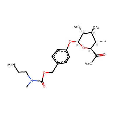 CNCCN(C)C(=O)OCc1ccc(O[C@@H]2O[C@H](C(=O)OC)[C@@H](C)[C@H](OC(C)=O)[C@H]2OC(C)=O)cc1